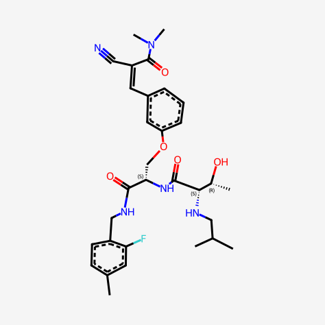 Cc1ccc(CNC(=O)[C@H](COc2cccc(C=C(C#N)C(=O)N(C)C)c2)NC(=O)[C@@H](NCC(C)C)[C@@H](C)O)c(F)c1